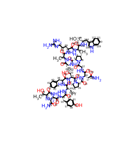 CC[C@H](C)[C@H](NC(=O)[C@@H]1CCCN1C(=O)CNC(=O)[C@H](CC(N)=O)NC(=O)[C@@H]1CCCN1C(=O)[C@H](CO)NC(=O)[C@H](Cc1ccccc1)NC(=O)[C@H](CC(C)C)NC(=O)[C@H](Cc1ccc(O)cc1)NC(=O)[C@H](CC(N)=O)NC(=O)[C@@H](N)[C@H](C)O)C(=O)N[C@@H](C)C(=O)N[C@@H](CCCN=C(N)N)C(=O)N[C@@H](C)C(=O)N[C@@H](Cc1c[nH]c2ccccc12)C(=O)O